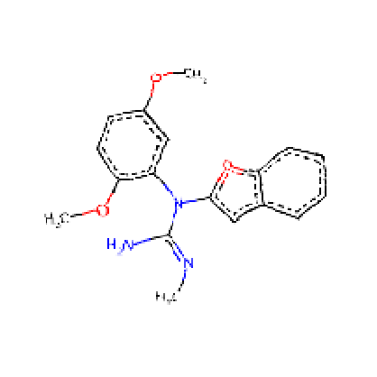 CN=C(N)N(c1cc2ccccc2o1)c1cc(OC)ccc1OC